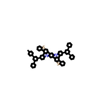 Cc1ccc(-c2cc(-c3ccccc3)cc(-c3ccc4c(c3)c3c5c(cc6c7cc8c(cc7n4c63)c3cc4sc6ccccc6c4c4c6cc(-c7cc(-c9ccccc9)cc(-c9ccccc9)c7)ccc6n8c34)sc3ccccc35)c2)cc1